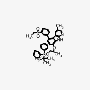 CCS(=O)(=O)c1cccc(-c2ccc(OC(C)CO[Si](c3ccccc3)(c3ccccc3)C(C)(C)C)c3[nH]c4ncc(C)cc4c23)c1